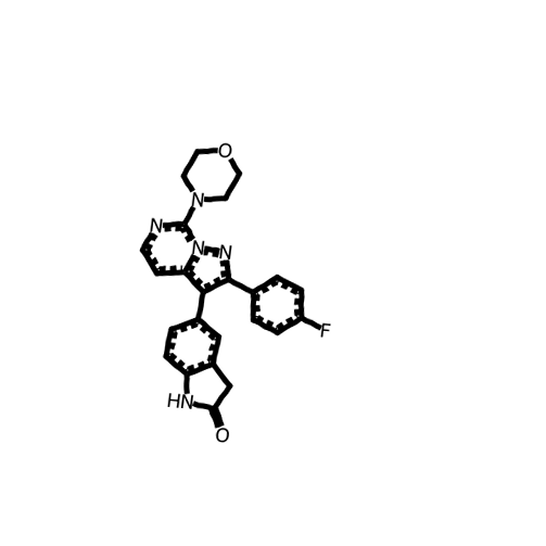 O=C1Cc2cc(-c3c(-c4ccc(F)cc4)nn4c(N5CCOCC5)nccc34)ccc2N1